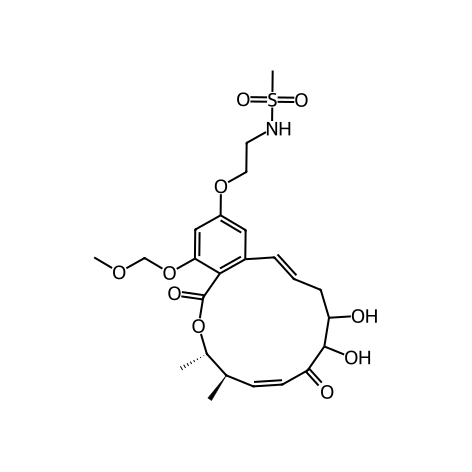 COCOc1cc(OCCNS(C)(=O)=O)cc2c1C(=O)O[C@@H](C)[C@H](C)/C=C\C(=O)C(O)C(O)C/C=C/2